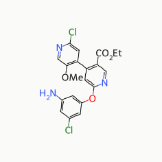 CCOC(=O)c1cnc(Oc2cc(N)cc(Cl)c2)cc1-c1cc(Cl)ncc1OC